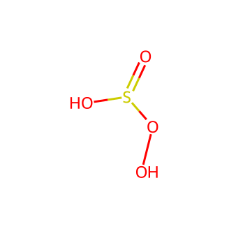 O=S(O)OO